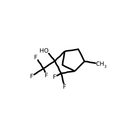 CC1CC2CC1C(F)(F)C2(O)C(F)(F)F